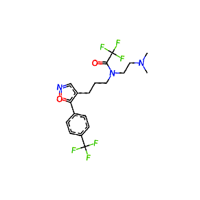 CN(C)CCN(CCCc1cnoc1-c1ccc(C(F)(F)F)cc1)C(=O)C(F)(F)F